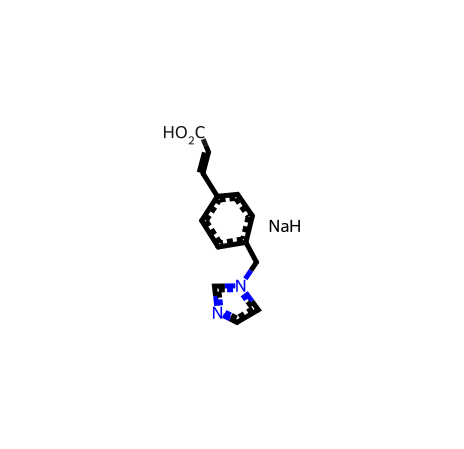 O=C(O)C=Cc1ccc(Cn2ccnc2)cc1.[NaH]